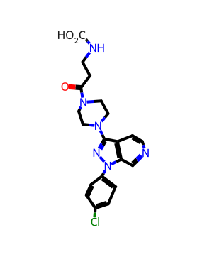 O=C(O)NCCC(=O)N1CCN(c2nn(-c3ccc(Cl)cc3)c3cnccc23)CC1